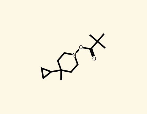 CC(C)(C)C(=O)ON1CCC(C)(C2CC2)CC1